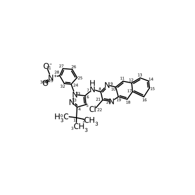 CC(C)(C)c1cc(Nc2nc3cc4ccccc4cc3nc2Cl)n(-c2cccc([N+](=O)[O-])c2)n1